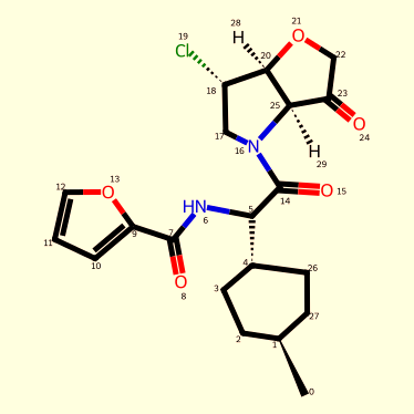 C[C@H]1CC[C@H](C(NC(=O)c2ccco2)C(=O)N2C[C@H](Cl)[C@H]3OCC(=O)[C@H]32)CC1